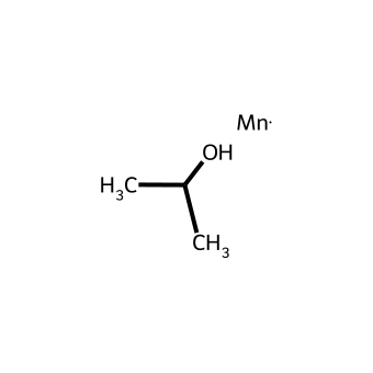 CC(C)O.[Mn]